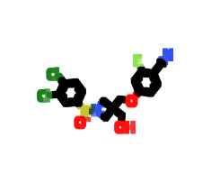 N#Cc1ccc(OCC2(CO)CN([S+]([O-])c3ccc(Cl)c(Cl)c3)C2)cc1F